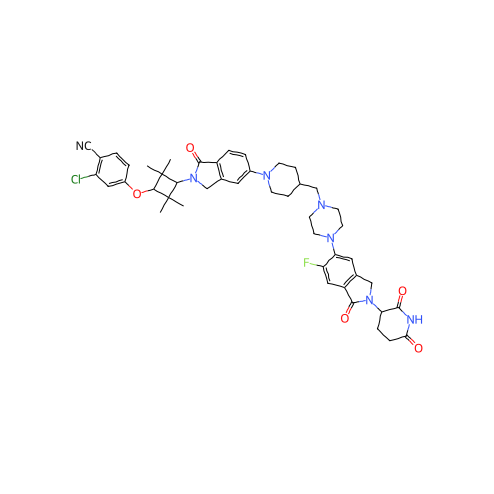 CC1(C)C(Oc2ccc(C#N)c(Cl)c2)C(C)(C)C1N1Cc2cc(N3CCC(CN4CCN(c5cc6c(cc5F)C(=O)N(C5CCC(=O)NC5=O)C6)CC4)CC3)ccc2C1=O